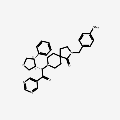 COc1ccc(CN2CCC3(CCN(C(C(=O)c4cncnc4)[C@@H]4CNC[C@@H]4c4ccccc4)CC3)C2=O)cc1